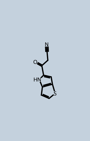 N#CCC(=O)c1cc2sccc2[nH]1